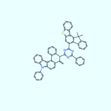 C=C1c2ccc3c(c2-c2ccccc2C1c1nc(-c2ccccc2)nc(-c2cc4sc5ccccc5c4c4c2-c2ccccc2C4(C)C)n1)c1ccccc1n3-c1ccccc1